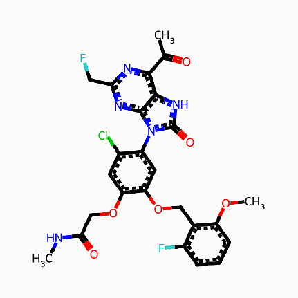 CNC(=O)COc1cc(Cl)c(-n2c(=O)[nH]c3c(C(C)=O)nc(CF)nc32)cc1OCc1c(F)cccc1OC